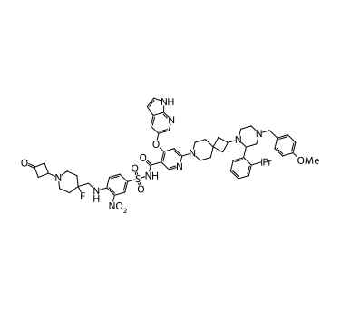 COc1ccc(CN2CCN(C3CC4(CCN(c5cc(Oc6cnc7[nH]ccc7c6)c(C(=O)NS(=O)(=O)c6ccc(NCC7(F)CCN(C8CC(=O)C8)CC7)c([N+](=O)[O-])c6)cn5)CC4)C3)C(c3ccccc3C(C)C)C2)cc1